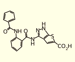 O=C(Nc1ccccc1C(=O)Nc1n[nH]c2sc(C(=O)O)cc12)c1ccccc1